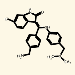 CN(C)Cc1ccc(N/C(=C2\C(=O)Nc3cc(Cl)ccc32)c2ccc(CN)cc2)cc1